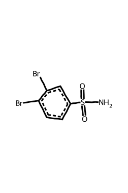 NS(=O)(=O)c1ccc(Br)c(Br)c1